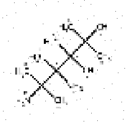 CC(C)(C)C(C)(C)C(C)(C)C(C)(C)N